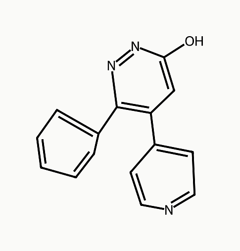 Oc1cc(-c2ccncc2)c(-c2ccccc2)nn1